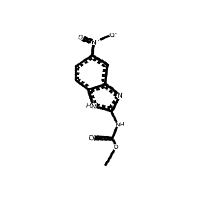 COC(=O)Nc1nc2cc([N+](=O)[O-])ccc2[nH]1